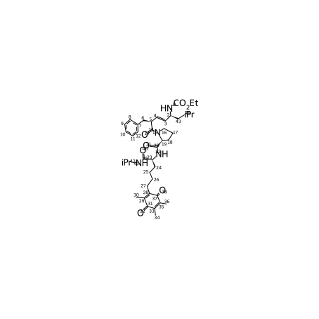 CCOC(=O)N[C@H](/C=C/[C@H](Cc1ccccc1)C(=O)N1CCC[C@H]1C(=O)N[C@@H](CCCCC1=C(C)C(=O)C(C)=C(C)C1=O)C(=O)NC(C)C)CC(C)C